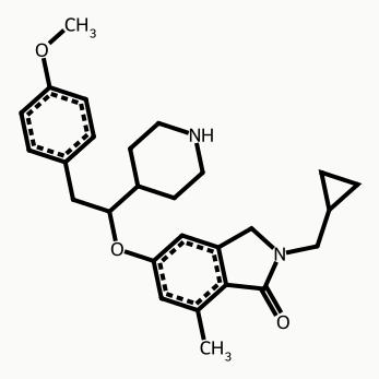 COc1ccc(CC(Oc2cc(C)c3c(c2)CN(CC2CC2)C3=O)C2CCNCC2)cc1